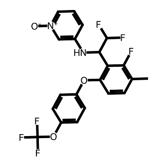 Cc1ccc(Oc2ccc(OC(F)(F)F)cc2)c(C(Nc2ccc[n+]([O-])c2)C(F)F)c1F